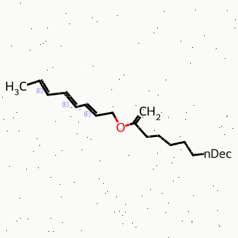 C=C(CCCCCCCCCCCCCCC)OC/C=C/C=C/C=C/C